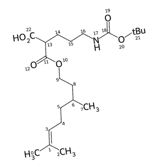 CC(C)=CCCC(C)CCOC(=O)C(CCCNC(=O)OC(C)(C)C)C(=O)O